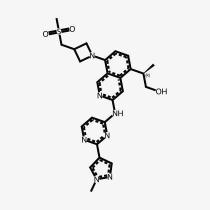 C[C@@H](CO)c1ccc(N2CC(CS(C)(=O)=O)C2)c2cnc(Nc3ccnc(-c4cnn(C)c4)n3)cc12